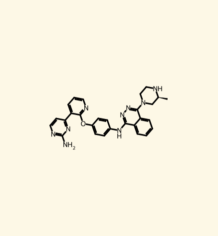 C[C@H]1CN(c2nnc(Nc3ccc(Oc4ncccc4-c4ccnc(N)n4)cc3)c3ccccc23)CCN1